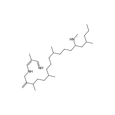 C=C(CN/C=C(/C)C=N)C(C)CCC(C)CCCC(C)CCCC(CC(C)CCC)NC